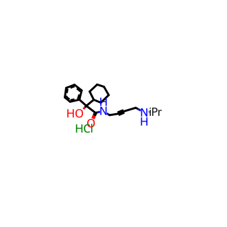 CC(C)NCC#CCNC(=O)C(O)(c1ccccc1)C1CCCCC1.Cl